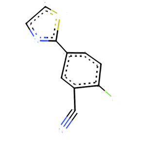 N#Cc1cc(-c2nccs2)ccc1F